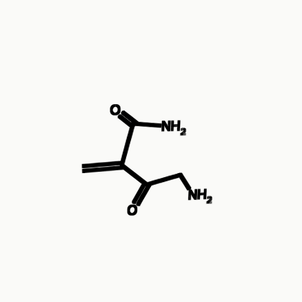 C=C(C(N)=O)C(=O)CN